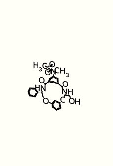 CN(c1cc2cc(c1)C(=O)N[C@@H](c1ccccc1)COc1cccc(c1)CC(CO)NC2=O)S(C)(=O)=O